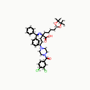 CC1(C)OB(CCCCC(CCCN2CCN(C(=O)c3ccc(Cl)c(Cl)c3)CC2)(N=C(c2ccccc2)c2ccccc2)C(=O)O)OC1(C)C